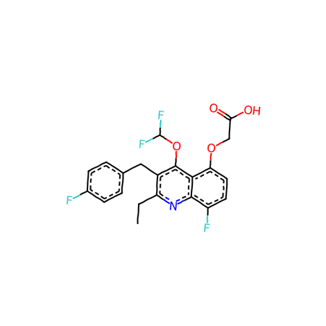 CCc1nc2c(F)ccc(OCC(=O)O)c2c(OC(F)F)c1Cc1ccc(F)cc1